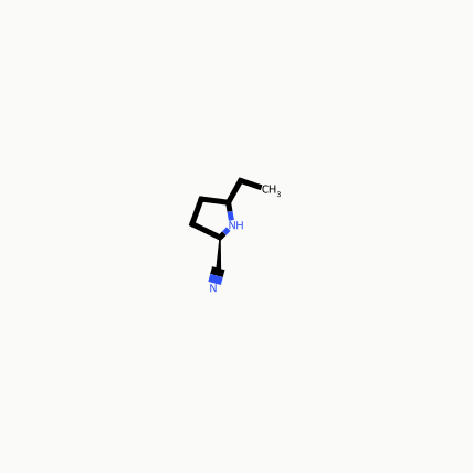 CCC1CC[C@H](C#N)N1